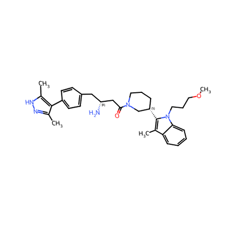 COCCCn1c([C@H]2CCCN(C(=O)C[C@H](N)Cc3ccc(-c4c(C)n[nH]c4C)cc3)C2)c(C)c2ccccc21